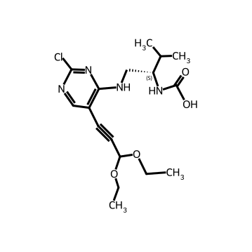 CCOC(C#Cc1cnc(Cl)nc1NC[C@@H](NC(=O)O)C(C)C)OCC